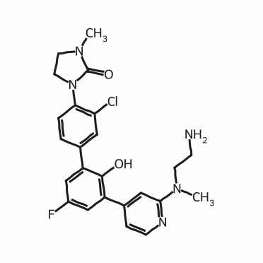 CN1CCN(c2ccc(-c3cc(F)cc(-c4ccnc(N(C)CCN)c4)c3O)cc2Cl)C1=O